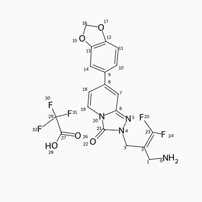 NCC(Cn1nc2cc(-c3ccc4c(c3)OCO4)ccn2c1=O)=C(F)F.O=C(O)C(F)(F)F